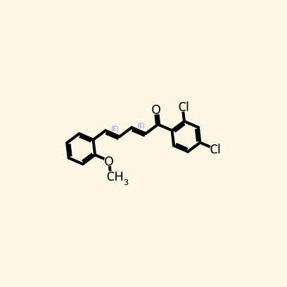 COc1ccccc1/C=C/C=C/C(=O)c1ccc(Cl)cc1Cl